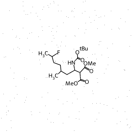 COC(=O)C(C(=O)OC)C(CC(C)CCC(C)F)NC(=O)OC(C)(C)C